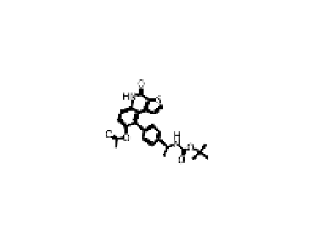 CC(=O)Oc1ccc2[nH]c(=O)c3sccc3c2c1-c1ccc(C(C)NC(=O)OC(C)(C)C)cc1